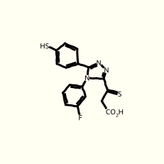 O=C(O)CC(=S)c1nnc(-c2ccc(S)cc2)n1-c1cccc(F)c1